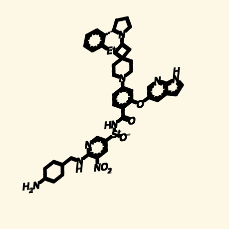 CCc1ccccc1[C@@H]1CCCN1C1CC2(CCN(c3ccc(C(=O)N[S+]([O-])c4cnc(NCC5CCC(N)CC5)c([N+](=O)[O-])c4)c(Oc4cnc5[nH]ccc5c4)c3)CC2)C1